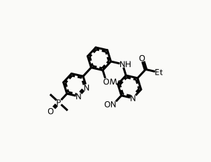 CCC(=O)c1cnc(N=O)cc1Nc1cccc(-c2ccc(P(C)(C)=O)nn2)c1OC